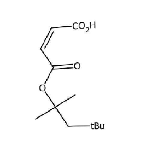 CC(C)(C)CC(C)(C)OC(=O)/C=C\C(=O)O